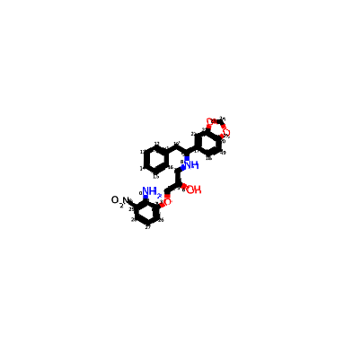 Nc1c(OCC(O)CNC(Cc2ccccc2)c2ccc3c(c2)OCO3)cccc1[N+](=O)[O-]